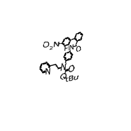 CC(C)(C)OC(=O)N(CCc1ccccn1)c1ccc(NC(=O)c2ccccc2-c2ccc([N+](=O)[O-])cc2)cc1